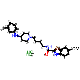 COc1ccc2nc(C(=O)NCCCCN3CCC(Nc4cccc(C(F)(F)F)c4)CC3)sc2c1.Cl.Cl